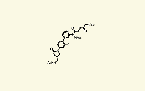 CNCC(=O)OCC(=O)N(NC)c1cc(-c2ccc(N3C[C@H](CNC(C)=O)OC3=O)cc2F)ccn1